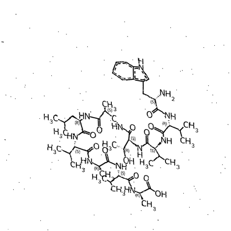 CC(C)C[C@@H](NC(=O)[C@@H](C)CNC(=O)[C@@H](NC(=O)[C@@H](NC(=O)[C@H](NC(=O)[C@@H](N)Cc1c[nH]c2ccccc12)C(C)C)C(C)C)[C@@H](C)O)C(=O)N[C@H](C(=O)N[C@H](C)C(=O)N[C@H](C(=O)N[C@H](C)C(=O)O)C(C)C)C(C)C